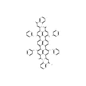 O=c1cc2c3cc(Oc4ccccc4)c4c5ccc6c7c(Oc8ccccc8)cc8c(=O)n9c%10ccccc%10c(=O)cc9c9cc(Oc%10ccccc%10)c(c%10ccc(c%11c(Oc%12ccccc%12)cc(c(=O)n2c2ccccc12)c3c%114)c5c6%10)c7c89